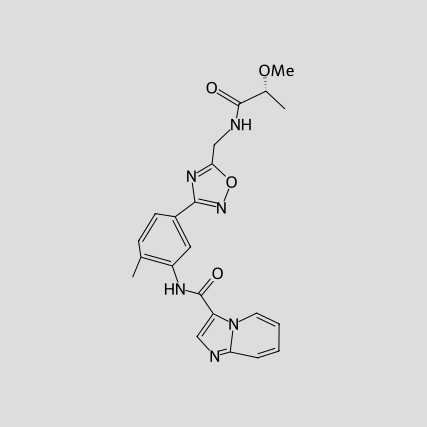 CO[C@H](C)C(=O)NCc1nc(-c2ccc(C)c(NC(=O)c3cnc4ccccn34)c2)no1